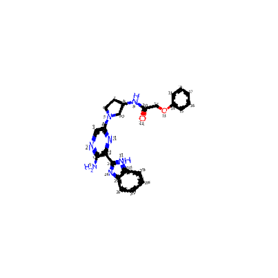 Nc1ncc(N2CCC(NC(=O)COc3ccccc3)C2)nc1-c1nc2ccccc2[nH]1